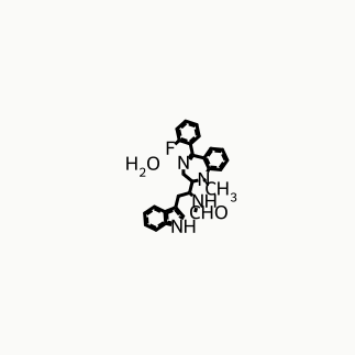 CN1c2ccccc2C(c2ccccc2F)=NCC1C(Cc1c[nH]c2ccccc12)NC=O.O